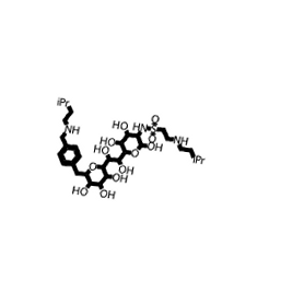 CC(C)CCNCCS(=O)(=O)NC1C(O)OC(C(O)C(O)C2OC(Cc3ccc(CNCCC(C)C)cc3)C(O)C(O)C2O)C(O)C1O